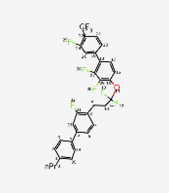 CCCc1ccc(-c2ccc(CCC(F)(F)Oc3ccc(-c4ccc(C(F)(F)F)c(F)c4)c(F)c3F)c(F)c2)cc1